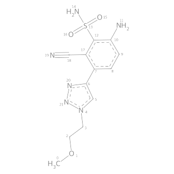 COCCn1cc(-c2ccc(N)c(S(N)(=O)=O)c2C#N)nn1